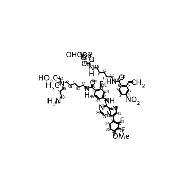 C=Cc1cc([N+](=O)[O-])ccc1C(=O)NCCCCCNC(=O)OC(C)(C)C.CCc1cc(Nc2nccn3c(-c4ccc(OC)c(F)c4F)cnc23)ccc1C(=O)NCCCCC[N+](C)(CCCN)CC(=O)O.O=C[O-]